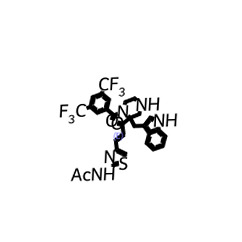 CC(=O)Nc1nc(/C=C/C(=O)C2(Cc3c[nH]c4ccccc34)CNCCN2C(=O)c2cc(C(F)(F)F)cc(C(F)(F)F)c2)cs1